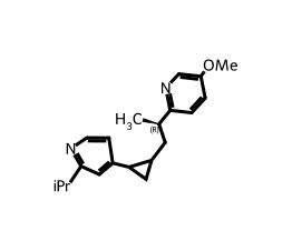 COc1ccc([C@H](C)CC2CC2c2ccnc(C(C)C)c2)nc1